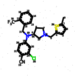 Cc1ccc(CN2CC[C@H](N(Cc3ccccc3C(F)(F)F)c3ccc(C#N)c(Cl)c3)C2)s1